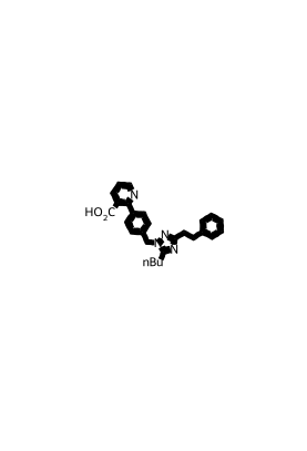 CCCCc1nc(CCc2ccccc2)nn1Cc1ccc(-c2ncccc2C(=O)O)cc1